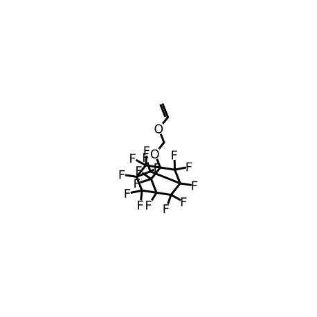 C=COCOC12C(F)(F)C3(F)C(F)(F)C(F)(C(F)(F)C(F)(C3(F)F)C1(F)F)C2(F)F